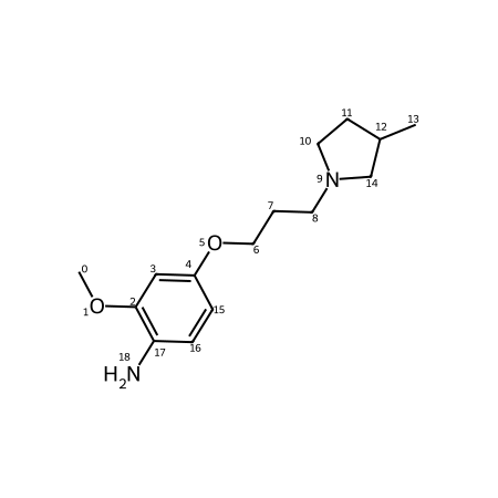 COc1cc(OCCCN2CCC(C)C2)ccc1N